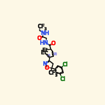 CC/C=C(\C=C/C(CC)C(=O)NCC(=O)NCC(F)(F)F)C1=NOC(c2cc(Cl)cc(Cl)c2)(C(F)(F)F)C1